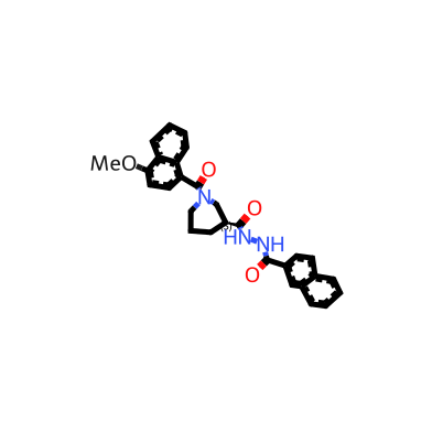 COc1ccc(C(=O)N2CCC[C@H](C(=O)NNC(=O)c3ccc4ccccc4c3)C2)c2ccccc12